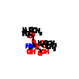 CC(C)(C)OC(=O)CCOCC(COCCC(=O)O)(COCCC(=O)OC(C)(C)C)NCCO